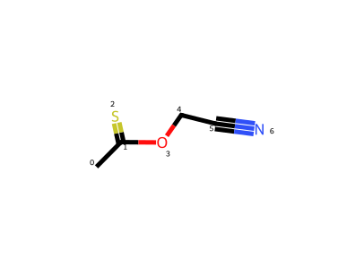 CC(=S)OCC#N